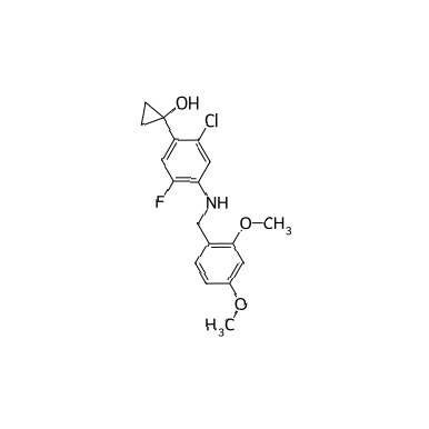 COc1ccc(CNc2cc(Cl)c(C3(O)CC3)cc2F)c(OC)c1